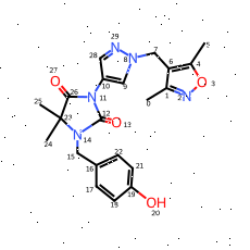 Cc1noc(C)c1Cn1cc(N2C(=O)N(Cc3ccc(O)cc3)C(C)(C)C2=O)cn1